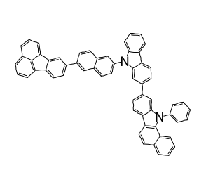 c1ccc(-n2c3cc(-c4ccc5c6ccccc6n(-c6ccc7cc(-c8ccc9c(c8)-c8cccc%10cccc-9c8%10)ccc7c6)c5c4)ccc3c3ccc4ccccc4c32)cc1